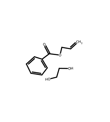 C=CCOC(=O)c1ccccc1.OCCO